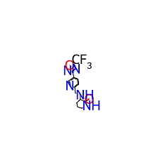 O=C1NCCCC1NCc1ccc(-c2noc(C(F)(F)F)n2)cn1